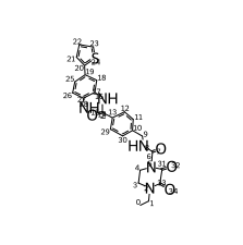 CCN1CCN(C(=O)NCc2ccc(C(=O)Nc3cc(-c4cccs4)ccc3N)cc2)C(=O)C1=O